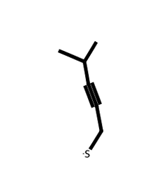 CC(C)C#CC[S]